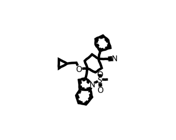 CS(=O)(=O)n1c(C2(OCC3CC3)CCC(C#N)(c3ccccc3)CC2)cc2ccccc21